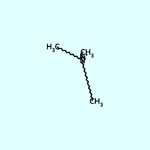 CCCCCCCCCCCCCCCCCCCn1cc[n+](CC)c1CCCCCCCCCCCC